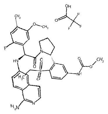 CCS(=O)(=O)c1ccc(NC(=O)OC)cc1[C@H]1CCCN1C(=O)[C@@H](Nc1ccc2c(N)nccc2c1)c1cc(OC)c(C)cc1F.O=C(O)C(F)(F)F